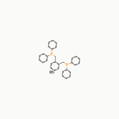 [Rh].c1ccc(P(Cc2ccccc2CP(c2ccccc2)c2ccccc2)c2ccccc2)cc1